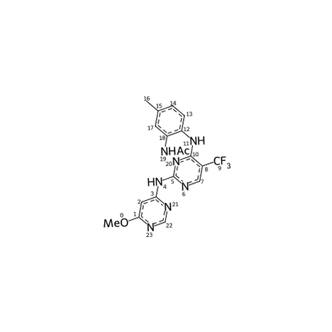 COc1cc(Nc2ncc(C(F)(F)F)c(Nc3ccc(C)cc3NC(C)=O)n2)ncn1